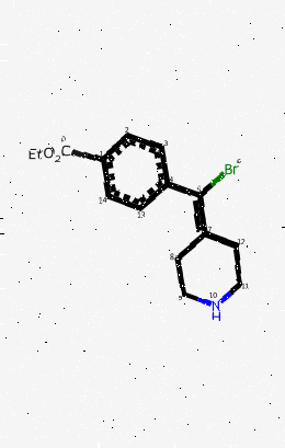 CCOC(=O)c1ccc(C(Br)=C2CCNCC2)cc1